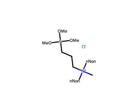 CCCCCCCCC[N+](C)(CCCCCCCCC)CCC[Si](OC)(OC)OC.[Cl-]